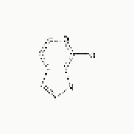 O=c1occc2c1[N]C=C2